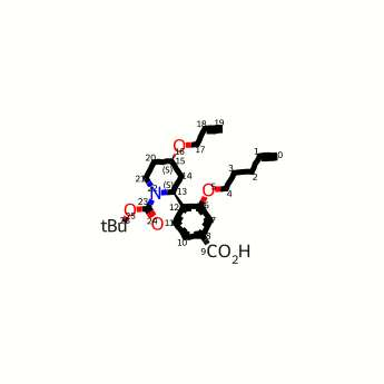 C=CCCCOc1cc(C(=O)O)ccc1[C@@H]1C[C@@H](OCC=C)CCN1C(=O)OC(C)(C)C